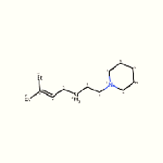 CCC(=CC[SiH2]CCN1CCCCC1)CC